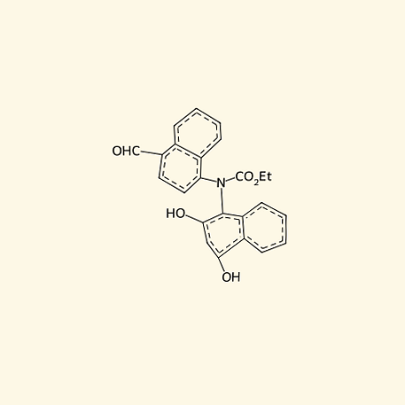 CCOC(=O)N(c1ccc(C=O)c2ccccc12)c1c(O)cc(O)c2ccccc12